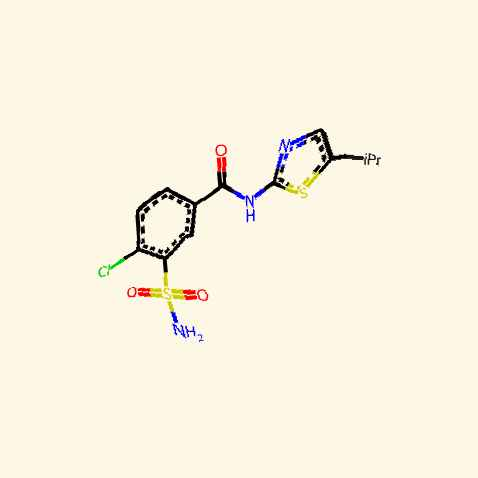 CC(C)c1cnc(NC(=O)c2ccc(Cl)c(S(N)(=O)=O)c2)s1